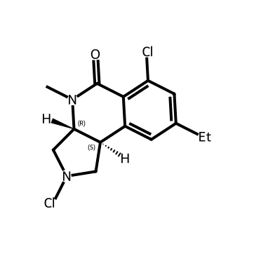 CCc1cc(Cl)c2c(c1)[C@H]1CN(Cl)C[C@@H]1N(C)C2=O